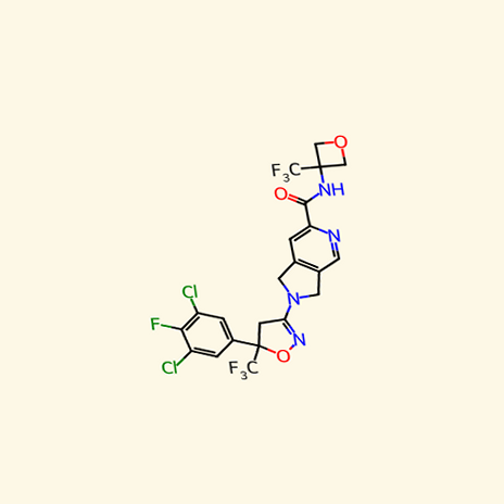 O=C(NC1(C(F)(F)F)COC1)c1cc2c(cn1)CN(C1=NOC(c3cc(Cl)c(F)c(Cl)c3)(C(F)(F)F)C1)C2